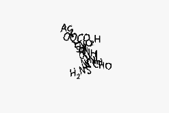 CC(=O)CC(=O)OCC1=C(C(=O)O)N2C(=O)[C@@H](NC(=O)C(NC=O)c3csc(N)n3)[C@H]2SC1